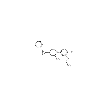 CCOc1cc(N2CCC(C3CC3c3ccccc3)CC2C)ccc1Br